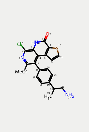 COc1nc(Cl)c2[nH]c(=O)c3sccc3c2c1-c1ccc(C(C)CN)cc1